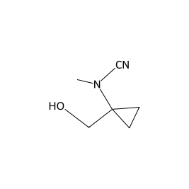 CN(C#N)C1(CO)CC1